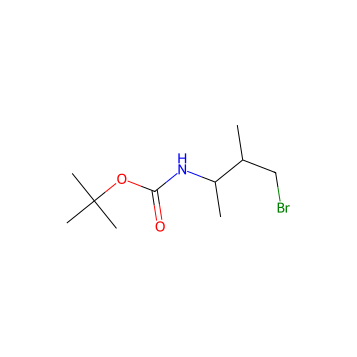 CC(CBr)C(C)NC(=O)OC(C)(C)C